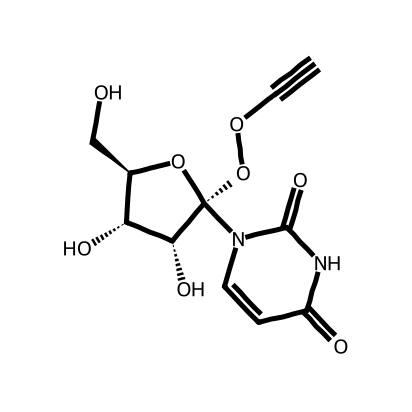 C#COO[C@@]1(n2ccc(=O)[nH]c2=O)O[C@H](CO)[C@@H](O)[C@H]1O